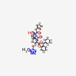 Cn1nnnc1SCC1=C(C(=O)OC(c2ccccc2)c2ccccc2)N2C(=O)C(N(O)C(=O)Cc3cccs3)[C@H]2SC1